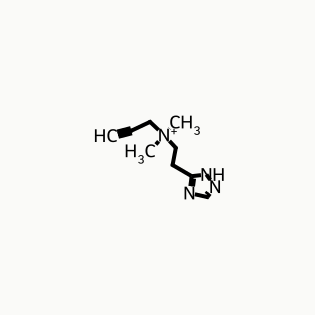 C#CC[N+](C)(C)CCc1ncn[nH]1